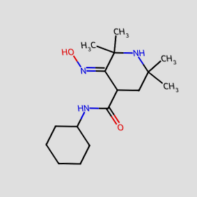 CC1(C)CC(C(=O)NC2CCCCC2)C(=NO)C(C)(C)N1